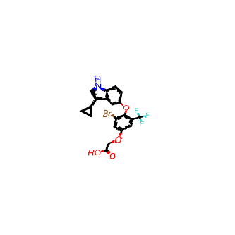 O=C(O)COc1cc(Br)c(Oc2ccc3[nH]cc(C4CC4)c3c2)c(C(F)(F)F)c1